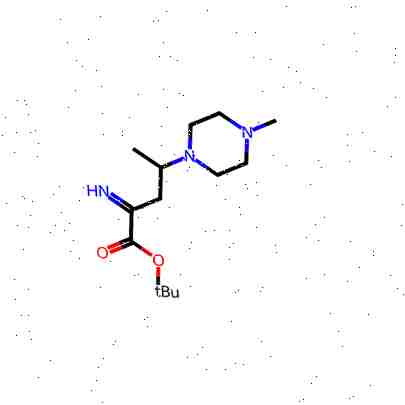 CC(CC(=N)C(=O)OC(C)(C)C)N1CCN(C)CC1